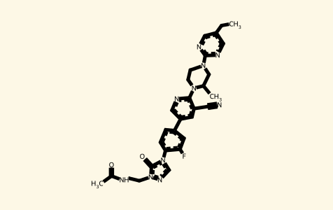 CCc1cnc(N2CCN(c3ncc(-c4ccc(-n5cnn(CCNC(C)=O)c5=O)c(F)c4)cc3C#N)C(C)C2)nc1